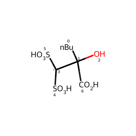 CCCCC(O)([C](S(=O)(=O)O)S(=O)(=O)O)C(=O)O